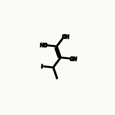 CC(I)C(O)=C(O)O